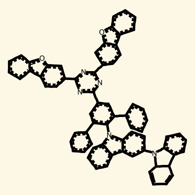 C1=CC2c3ccccc3N(c3ccc4c(c3)c3ccccc3n4-c3c(-c4ccccc4)cc(-c4nc(-c5ccc6c(c5)oc5ccccc56)nc(-c5ccc6c(c5)oc5ccccc56)n4)cc3-c3ccccc3)C2C=C1